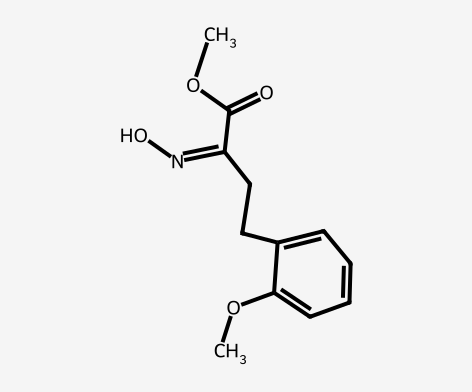 COC(=O)C(CCc1ccccc1OC)=NO